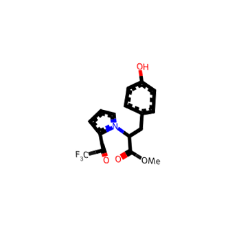 COC(=O)C(Cc1ccc(O)cc1)n1cccc1C(=O)C(F)(F)F